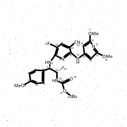 COc1ccc([C@@H](Nc2nc(Nc3cc(OC)nc(OC)c3)c(C#N)cc2F)[C@H](C)NC(=O)OC(C)(C)C)cc1